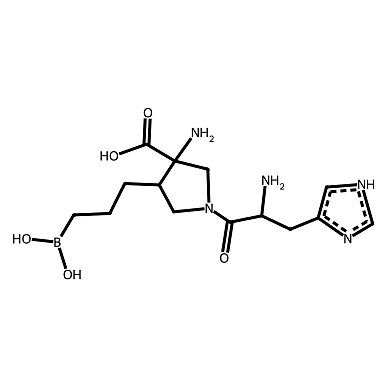 NC(Cc1c[nH]cn1)C(=O)N1CC(CCCB(O)O)C(N)(C(=O)O)C1